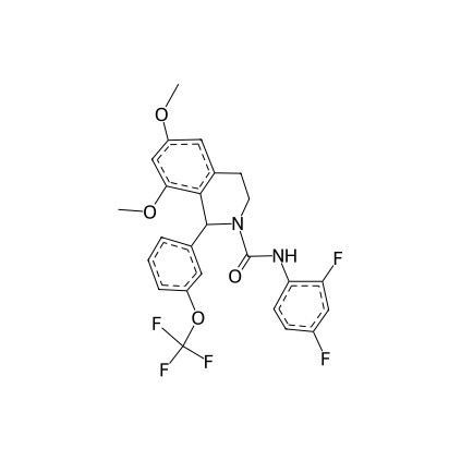 COc1cc2c(c(OC)c1)C(c1cccc(OC(F)(F)F)c1)N(C(=O)Nc1ccc(F)cc1F)CC2